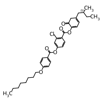 CCCCCCCCOc1ccc(C(=O)Oc2ccc(C(=O)OC3=CC=C(C[C@@H](C)CC)CC3=O)c(Cl)c2)cc1